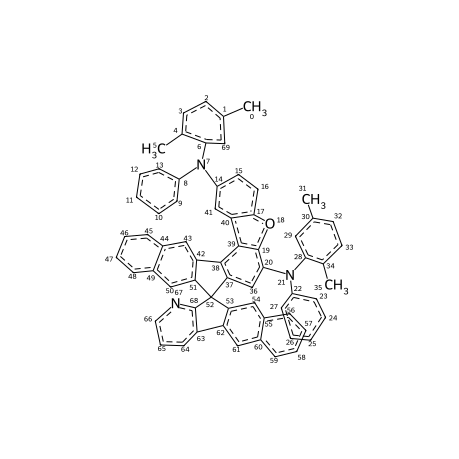 Cc1ccc(C)c(N(c2ccccc2)c2ccc3oc4c(N(c5ccccc5)c5cc(C)ccc5C)cc5c(c4c3c2)-c2cc3ccccc3cc2C52c3cc4ccccc4cc3-c3cccnc32)c1